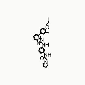 Cc1cc(-c2cccc3nc(Nc4cccc(NC(=O)CN5CCCC5)c4)nn23)ccc1OCCI